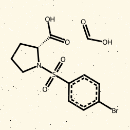 O=C(O)[C@H]1CCCN1S(=O)(=O)c1ccc(Br)cc1.O=CO